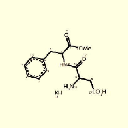 COC(=O)C(Cc1ccccc1)NC(=O)C(N)CC(=O)O.[KH]